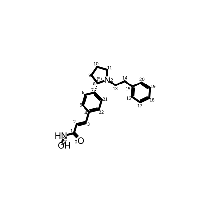 O=C(C=Cc1ccc([C@@H]2CCCN2CCc2ccccc2)cc1)NO